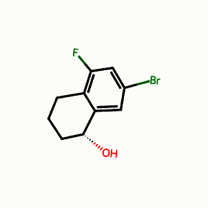 O[C@@H]1CCCc2c(F)cc(Br)cc21